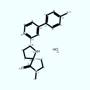 CN1CC[C@@]2(CC[C@H](c3cc(-c4ccc(F)cc4)ccn3)N2)C1=O.Cl